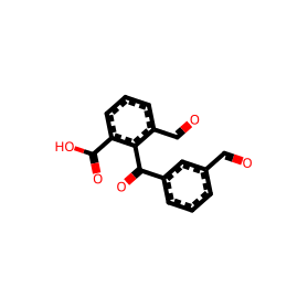 O=Cc1cccc(C(=O)c2c(C=O)cccc2C(=O)O)c1